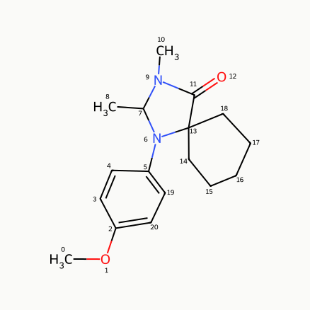 COc1ccc(N2C(C)N(C)C(=O)C23CCCCC3)cc1